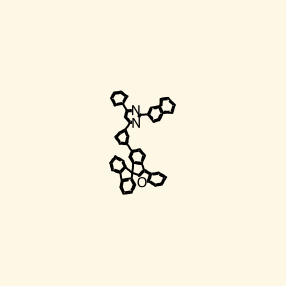 c1ccc(-c2cc(-c3cccc(-c4ccc5c(c4)C4(c6ccccc6-c6ccccc64)c4oc6ccccc6c4-5)c3)nc(-c3ccc4ccccc4c3)n2)cc1